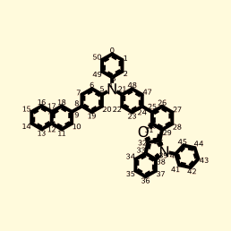 c1ccc(N(c2ccc(-c3ccc4ccccc4c3)cc2)c2ccc(-c3cccc4c3oc3c5ccccc5n(-c5ccccc5)c43)cc2)cc1